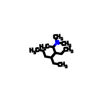 CCCC(CC)C(CC)C(C)N(C)C